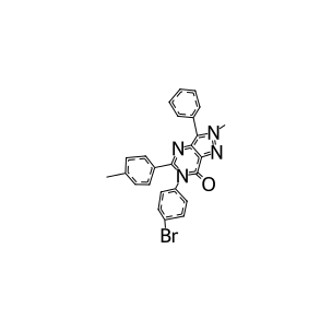 Cc1ccc(-c2nc3c(-c4ccccc4)n(C)nc3c(=O)n2-c2ccc(Br)cc2)cc1